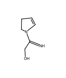 N=C(CO)N1C=CCC1